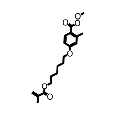 C=C(C)C(=O)OCCCCCCOc1ccc(C(=O)OOC)c(C)c1